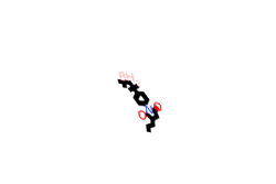 BC(C)(C)CC(C)(C)c1ccc(N2C(=O)CC(CCC)C2=O)cc1